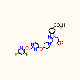 Cc1cc(C(=O)O)cc2c1nc(CN1CCC(Oc3ccnc(COc4ncc(F)cc4F)n3)CC1)n2CC1CCO1